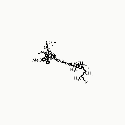 COc1ccc(C(OCC(NC(=O)CCOCCOCCOCCOCCOc2c(C)c(C)c3c(c2C)CC[C@@](C)(CCCC(C)CCCC(C)CCCC(C)C)O3)C(=O)N2CCC(COC(=O)CCC(=O)O)CC2)(c2ccccc2)c2ccc(OC)cc2)cc1